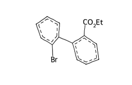 CCOC(=O)c1ccccc1-c1ccccc1Br